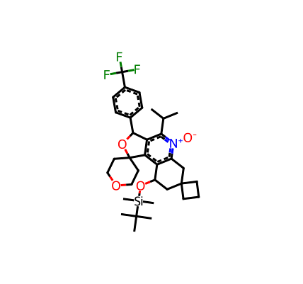 CC(C)c1c2c(c3c([n+]1[O-])CC1(CCC1)CC3O[Si](C)(C)C(C)(C)C)C1(CCOCC1)OC2c1ccc(C(F)(F)F)cc1